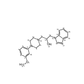 COc1cccc(N2CCN(CC(O)Cn3cnc4ccccc43)CC2)c1